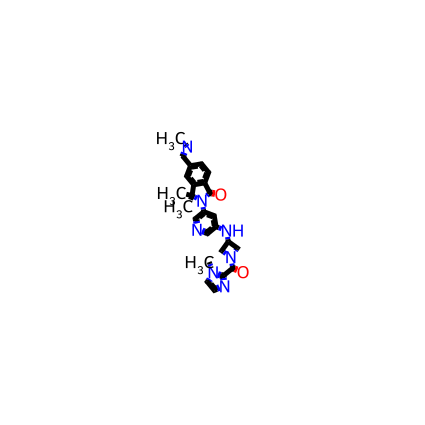 C/N=C/c1ccc2c(c1)C(C)(C)N(c1cncc(NC3CN(C(=O)c4nccn4C)C3)c1)C2=O